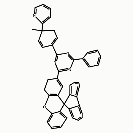 CC1(c2ccccn2)C=CC(c2nc(C3=CC4=C(CC3)Oc3ccccc3C43c4ccccc4-c4ccccc43)nc(-c3ccccc3)n2)=CC1